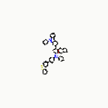 c1ccc(-n2c3ccccc3c3ccc(-c4ccc(N(c5ccc(-c6ccc7sc8ccccc8c7c6)cc5)c5ccccc5-c5cccc6ccccc56)cc4)cc32)cc1